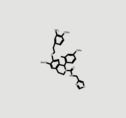 COc1ccc(C2c3cc(OCCc4ccc(OC)c(N)c4)c(OC)cc3CCN2C(=O)NCc2cocn2)c(C)c1